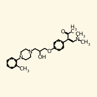 CC(=O)C(=CN(C)C)c1ccc(OCC(O)CN2CCN(c3ccccc3C)CC2)cc1